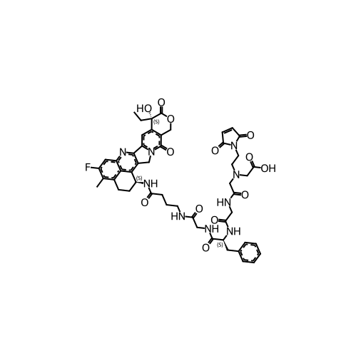 CC[C@@]1(O)C(=O)OCc2c1cc1n(c2=O)Cc2c-1nc1cc(F)c(C)c3c1c2[C@@H](NC(=O)CCCNC(=O)CNC(=O)[C@H](Cc1ccccc1)NC(=O)CNC(=O)CN(CCN1C(=O)C=CC1=O)CC(=O)O)CC3